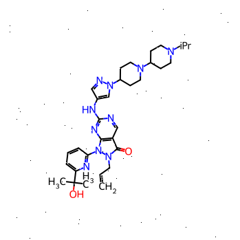 C=CCn1c(=O)c2cnc(Nc3cnn(C4CCN(C5CCN(C(C)C)CC5)CC4)c3)nc2n1-c1cccc(C(C)(C)O)n1